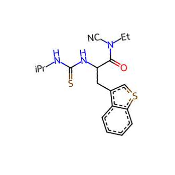 CCN(C#N)C(=O)C(Cc1csc2ccccc12)NC(=S)NC(C)C